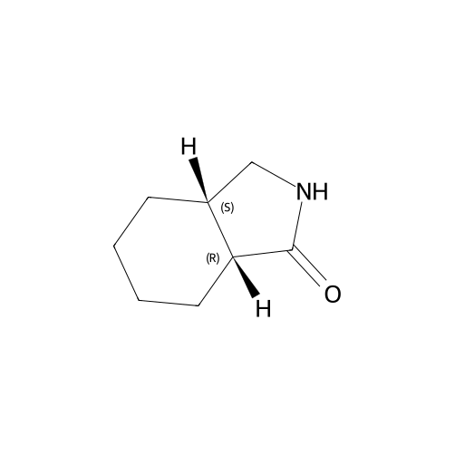 O=C1NC[C@H]2CCCC[C@@H]12